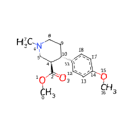 COC(=O)[C@H]1CN(C)CC[C@@H]1c1ccc(OC)cc1